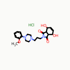 COc1ccccc1N1CCN(CCCN2C(=O)C3C(O)C=CC(O)C3C2=O)CC1.Cl